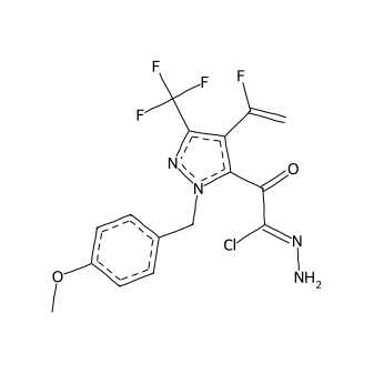 C=C(F)c1c(C(F)(F)F)nn(Cc2ccc(OC)cc2)c1C(=O)C(Cl)=NN